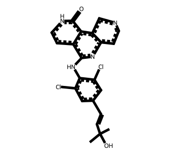 CC(C)(O)C=Cc1cc(Cl)c(Nc2nc3ccncc3c3c(=O)[nH]ccc23)c(Cl)c1